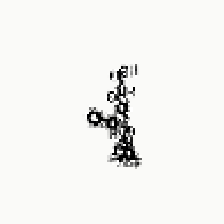 O=C(O)CCNC(=O)c1ccc(CN(C(=O)Nc2nc3cc(F)cc(C(F)(F)F)c3s2)c2ccc(C3=CCCCC3)cc2)cc1